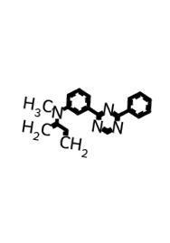 C=CC(=C)N(C)c1cccc(-c2ncnc(-c3ccccc3)n2)c1